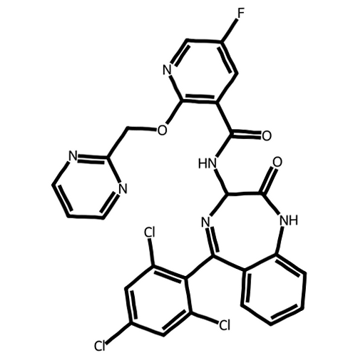 O=C(NC1N=C(c2c(Cl)cc(Cl)cc2Cl)c2ccccc2NC1=O)c1cc(F)cnc1OCc1ncccn1